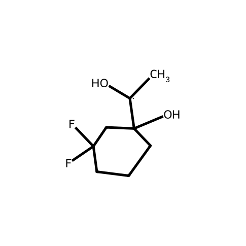 C[C](O)C1(O)CCCC(F)(F)C1